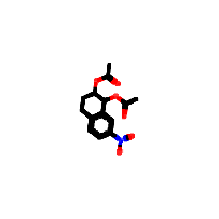 CC(=O)OC1CCc2ccc([N+](=O)[O-])cc2C1OC(C)=O